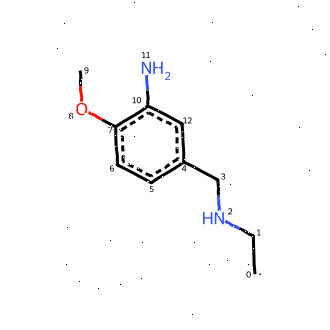 [CH2]CNCc1ccc(OC)c(N)c1